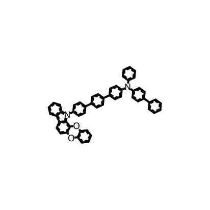 c1ccc(-c2ccc(N(c3ccccc3)c3ccc(-c4ccc(-c5ccc(-n6c7ccccc7c7ccc8c(c76)Oc6ccccc6O8)cc5)cc4)cc3)cc2)cc1